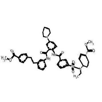 CCN([C@H]1CC[C@H](C(=O)OC)CC1)S(=O)(=O)c1cccc(C(=O)Nc2ccc(N3CCCCC3)cc2C(=O)Nc2cccc(CCc3ccc(C(=O)OC)cc3)c2)c1